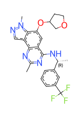 Cc1nc(N[C@H](C)c2cccc(C(F)(F)F)c2)c2cc(OC3CCOC3)c3c(cnn3C)c2n1